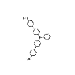 Oc1ccc(-c2ccc(N(c3ccccc3)c3ccc(-c4ccc(O)cc4)cc3)cc2)cc1